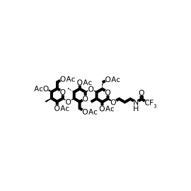 CC(=O)OCC1O[C@H](O[C@H]2C(COC(C)=O)O[C@@H](O[C@H]3C(C)C(OC(C)=O)[C@H](OCCCNC(=O)C(F)(F)F)O[C@H]3COC(C)=O)C(OC(C)=O)[C@H]2C)C(OC(C)=O)[C@@H](C)[C@H]1OC(C)=O